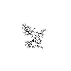 CNC1CCC(N(Cc2cc(-c3ccc(N(C)C)nc3)ccc2OC)C(=O)c2sc3ccccc3c2Cl)CC1.O=C(O)C(F)(F)F.O=C(O)C(F)(F)F